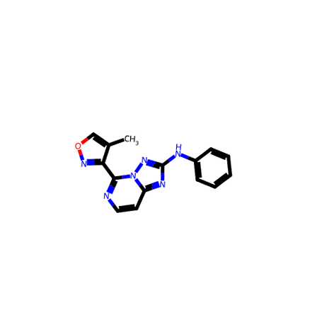 Cc1conc1-c1nccc2nc(Nc3ccccc3)nn12